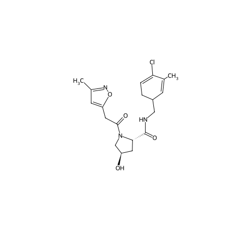 CC1=CC(CNC(=O)[C@@H]2C[C@@H](O)CN2C(=O)Cc2cc(C)no2)CC=C1Cl